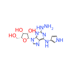 NNc1nc(Nc2cc[nH]c2)c2ncn([C@@H]3O[C@H](CO)[C@H](O)[C@@H]3O)c2n1